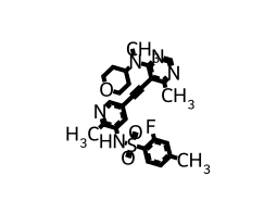 Cc1ccc(S(=O)(=O)Nc2cc(C#Cc3c(C)ncnc3N(C)C3CCOCC3)cnc2C)c(F)c1